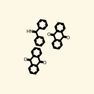 N=C(c1ccccc1)c1ccccc1.O=C1c2ccccc2C(=O)c2ccccc21.O=C1c2ccccc2C(=O)c2ccccc21